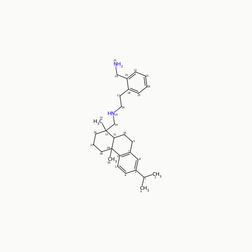 CC(C)c1ccc2c(c1)CCC1C(C)(CNCCc3ccccc3CN)CCCC21C